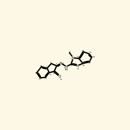 Cn1c(N/N=C2/Cc3ccccc3C2=O)nc2ccccc21